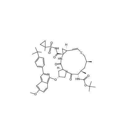 COc1ccc2c(O[C@@H]3C[C@H]4C(=O)N[C@]5(C(=O)NS(=O)(=O)C6(C)CC6)C[C@H]5/C=C\CC[C@@H](C)C[C@@H](C)[C@H](NC(=O)OC(C)(C)C)C(=O)N4C3)nc(-c3ccc(C(C)(C)C)cc3)cc2c1